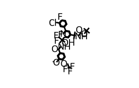 COc1cc(C(=O)NCC(O)(c2cc(C(C)(C)NC(=O)OC(C)(C)C)cc(-c3ccc(F)c(Cl)c3)n2)C(F)(F)F)ccc1OCC(F)(F)F